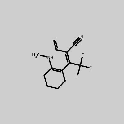 CNC1=C(/C(=C(/C#N)C=O)C(F)(F)F)CCCC1